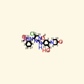 COc1cc(N2CCC(=O)CC2)c(CO)cc1Nc1ncc(Cl)c(Nc2ccccc2P(C)(C)=O)n1